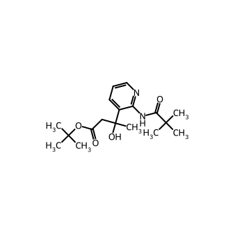 CC(C)(C)OC(=O)CC(C)(O)c1cccnc1NC(=O)C(C)(C)C